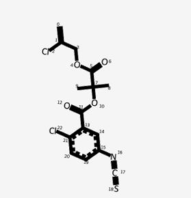 C=C(Cl)COC(=O)C(C)(C)OC(=O)c1cc(N=C=S)ccc1Cl